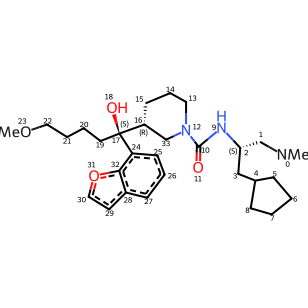 CNC[C@H](CC1CCCC1)NC(=O)N1CCC[C@@H]([C@@](O)(CCCCOC)c2cccc3ccoc23)C1